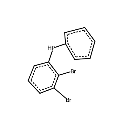 Brc1cccc(Pc2ccccc2)c1Br